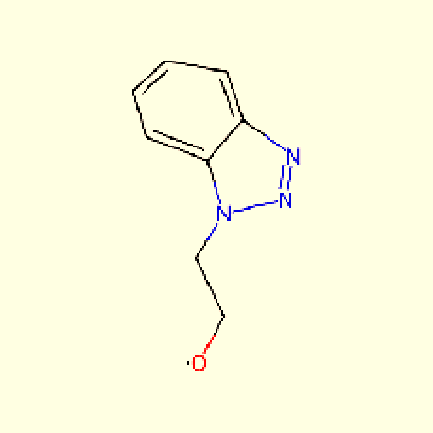 [O]CCn1nnc2ccccc21